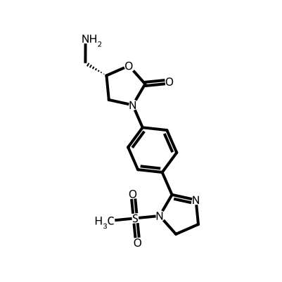 CS(=O)(=O)N1CCN=C1c1ccc(N2C[C@H](CN)OC2=O)cc1